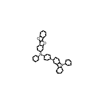 c1ccc(N(c2ccc(-c3ccc4c(c3)c3ccccc3n4-c3ccccc3)cc2)c2ccc3c(c2)oc2c4ccccc4oc32)cc1